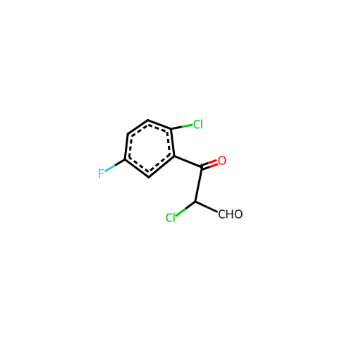 O=CC(Cl)C(=O)c1cc(F)ccc1Cl